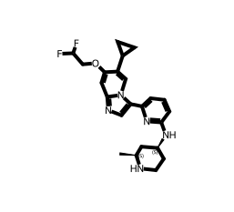 C[C@H]1C[C@@H](Nc2cccc(-c3cnc4cc(OCC(F)F)c(C5CC5)cn34)n2)CCN1